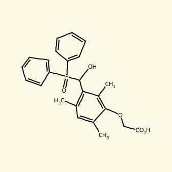 Cc1cc(C)c(C(O)P(=O)(c2ccccc2)c2ccccc2)c(C)c1OCC(=O)O